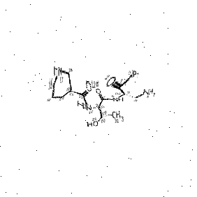 CC(C)C(=O)[C@H](CN)NC(=O)[C@@H](NC(=O)[C@H]1CCCNC1)[C@H](C)O